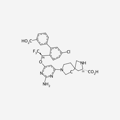 Nc1nc(O[C@H](c2ccc(Cl)cc2-c2cccc(C(=O)O)c2)C(F)(F)F)cc(N2CCC3(CC2)CN[C@H](C(=O)O)C3)n1